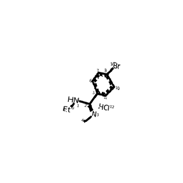 CCNC(=NC)c1ccc(Br)cc1.Cl